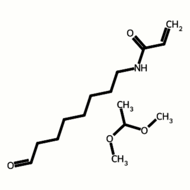 C=CC(=O)NCCCCCCCC=O.COC(C)OC